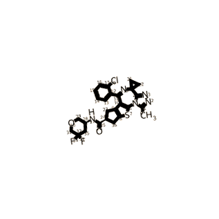 Cc1nnc2n1-c1sc3c(c1C(c1ccccc1Cl)=NC21CC1)C[C@H](C(=O)N[C@@H]1COCC(F)(F)C1)C3